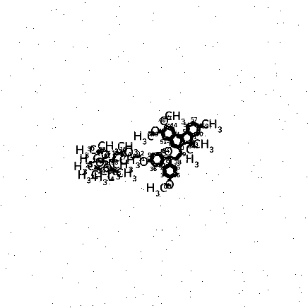 COc1ccc(C2(c3ccc(OCCOC(C)(C)CC[Si](OC(C)(C)C)(OC(C)(C)C)OC(C)(C)C)cc3)C=Cc3c4c(c5cc(OC)c(OC)cc5c3O2)-c2ccc(C)cc2C4(C)C)cc1